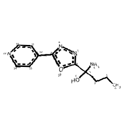 CCCC(N)(O)c1nnc(-c2ccncc2)o1